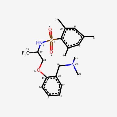 Cc1cc(C)c(S(=O)(=O)NC(COc2ccccc2CN(C)C)C(F)(F)F)c(C)c1